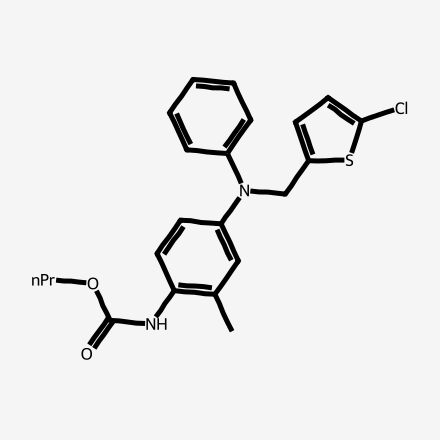 CCCOC(=O)Nc1ccc(N(Cc2ccc(Cl)s2)c2ccccc2)cc1C